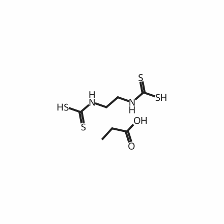 CCC(=O)O.S=C(S)NCCNC(=S)S